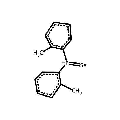 Cc1ccccc1[PH](=[Se])c1ccccc1C